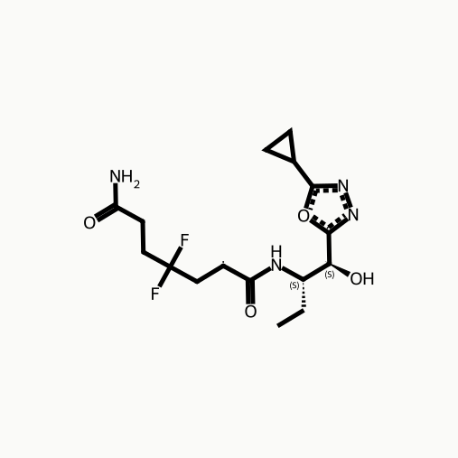 CC[C@H](NC(=O)[CH]CC(F)(F)CCC(N)=O)[C@H](O)c1nnc(C2CC2)o1